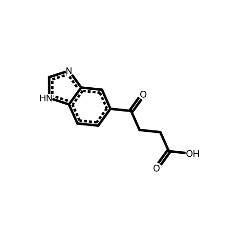 O=C(O)CCC(=O)c1ccc2[nH]cnc2c1